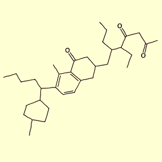 CCCCC(c1ccc2c(c1C)C(=O)CC(CC(CCC)C(CC)C(=O)CC(C)=O)C2)C1CCC(C)CC1